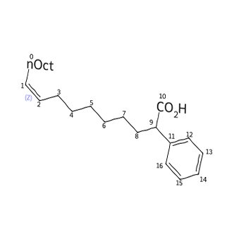 CCCCCCCC/C=C\CCCCCCC(C(=O)O)c1ccccc1